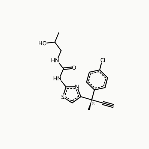 C#C[C@@](C)(c1ccc(Cl)cc1)c1csc(NC(=O)NCC(C)O)n1